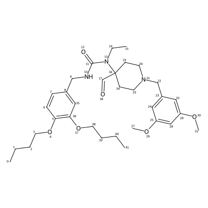 CCCCOc1ccc(CNC(=O)N(CC)C2(C=O)CCN(Cc3cc(OC)cc(OC)c3)CC2)cc1OCCCC